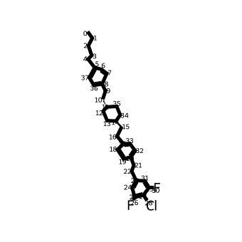 CCCCCc1ccc(CC[C@H]2CC[C@H](CCc3ccc(CCc4cc(F)c(Cl)c(F)c4)cc3)CC2)cc1